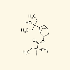 CCC(C)(I)C(=O)OC1CC2CC1C(C(O)(CC)CC)C2